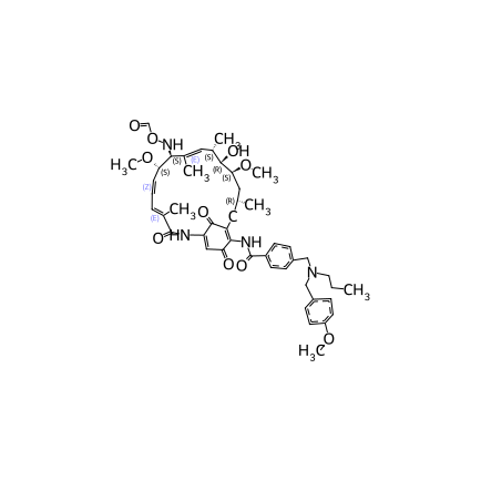 CCCN(Cc1ccc(OC)cc1)Cc1ccc(C(=O)NC2=C3C[C@@H](C)C[C@H](OC)[C@H](O)[C@@H](C)/C=C(\C)[C@H](NOC=O)[C@@H](OC)/C=C\C=C(/C)C(=O)NC(=CC2=O)C3=O)cc1